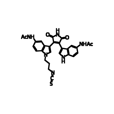 CC(=O)Nc1ccc2[nH]cc(C3=C(c4cn(CCCN=C=S)c5ccc(NC(C)=O)cc45)C(=O)NC3=O)c2c1